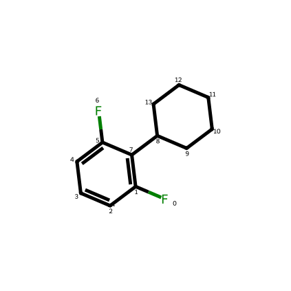 Fc1[c]ccc(F)c1C1CCCCC1